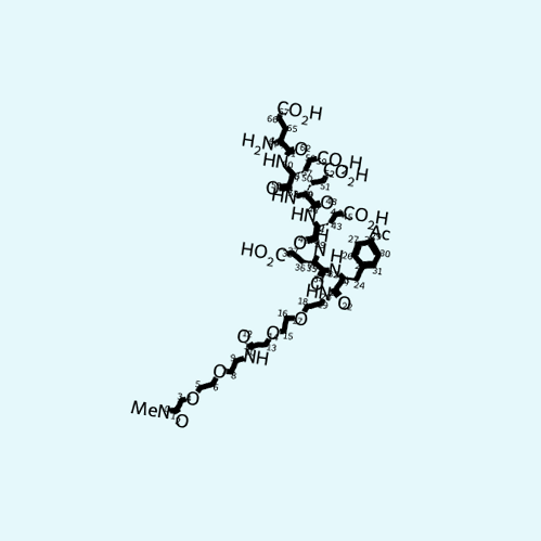 CNC(=O)COCCOCCNC(=O)COCCOCCNC(=O)[C@H](Cc1ccc(C(C)=O)cc1)NC(=O)[C@@H](CCC(=O)O)NC(=O)[C@@H](CCC(=O)O)NC(=O)[C@@H](CCC(=O)O)NC(=O)[C@@H](CCC(=O)O)NC(=O)[C@H](N)CCC(=O)O